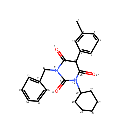 Cc1cccc(C2C(=O)N(Cc3ccccc3)C(=O)N(C3CCCCC3)C2=O)c1